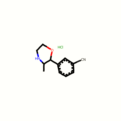 CC1NCCOC1c1cccc(C#N)c1.Cl